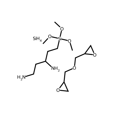 C(OCC1CO1)C1CO1.CO[Si](CCC(N)CCN)(OC)OC.[SiH4]